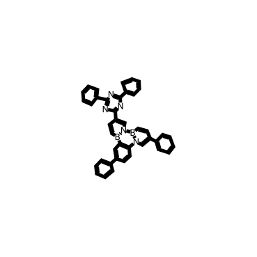 C1=CC(c2nc(-c3ccccc3)nc(-c3ccccc3)n2)=CN2B1c1cc(-c3ccccc3)ccc1N1C=C(c3ccccc3)C=CB21